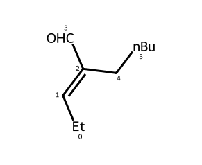 CCC=C(C=O)CCCCC